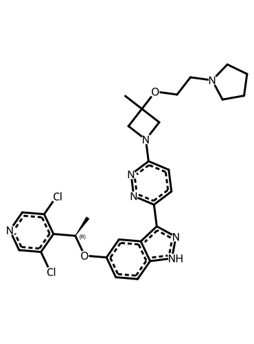 C[C@@H](Oc1ccc2[nH]nc(-c3ccc(N4CC(C)(OCCN5CCCC5)C4)nn3)c2c1)c1c(Cl)cncc1Cl